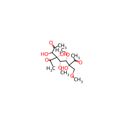 COC[C@](O)(C(C)=O)[C@@H](OC)[C@H](OC)[C@@](O)(C(C)=O)C(O)C(C)=O